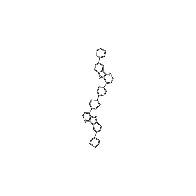 c1ccc(-c2ccc3sc4c(-c5ccc(-c6ccc(-c7ccnc8c7sc7ccc(-c9ccccc9)cc78)cc6)cc5)ccnc4c3c2)cc1